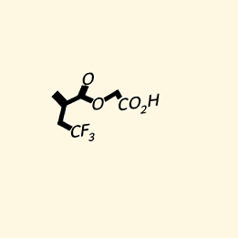 C=C(CC(F)(F)F)C(=O)OCC(=O)O